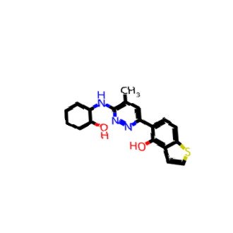 Cc1cc(-c2ccc3sccc3c2O)nnc1NC1CCCCC1O